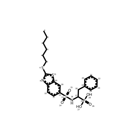 CCCCCCSc1nc2ccc(S(=O)(=O)NC(Cc3ccccc3)P(=O)(O)O)cc2s1